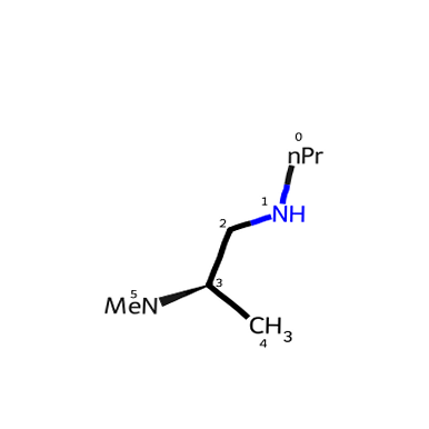 CCCNC[C@@H](C)NC